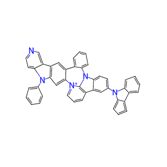 C1=CC=c2c=1c1ccccc1n2-c1ccc2c(c1)c1ccc[n+]3c1n2-c1ccccc1-c1cc2c4cnccc4n(-c4ccccc4)c2cc1-3